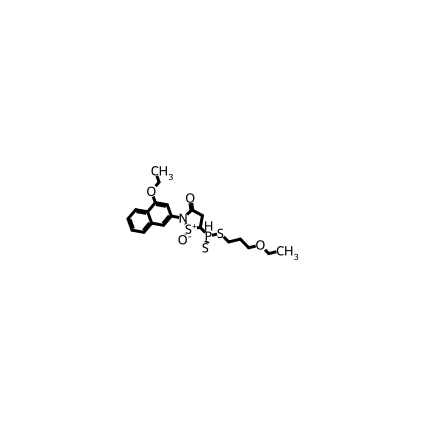 CCOCCCS[PH](=S)C1CC(=O)N(c2cc(OCC)c3ccccc3c2)[S+]1[O-]